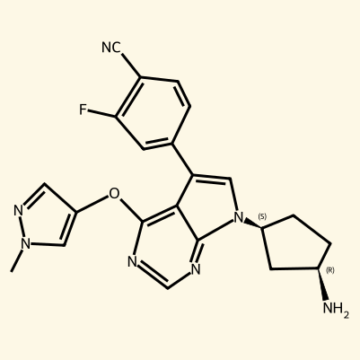 Cn1cc(Oc2ncnc3c2c(-c2ccc(C#N)c(F)c2)cn3[C@H]2CC[C@@H](N)C2)cn1